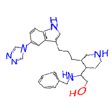 OCC(NCc1ccccc1)C1CCNCC1CCCc1c[nH]c2ccc(-n3cnnc3)cc12